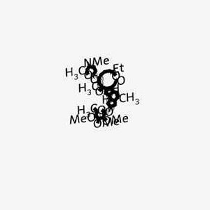 CC[C@H]1CCC[C@H](O[C@H]2CC[C@H](NC)C(C)O2)[C@@H](C)C(=O)C2=C[C@@H]3C(C=C(C)C4C[C@@H](O[C@@H]5OC(C)[C@H](OC)C(OC)C5OC)C[C@H]43)[C@@H]2CC(=O)O1